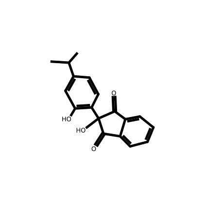 CC(C)c1ccc(C2(O)C(=O)c3ccccc3C2=O)c(O)c1